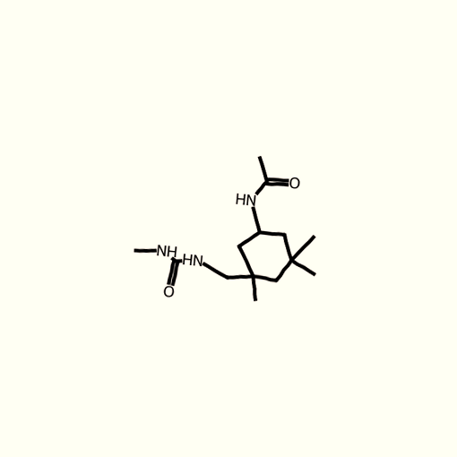 CNC(=O)NCC1(C)CC(NC(C)=O)CC(C)(C)C1